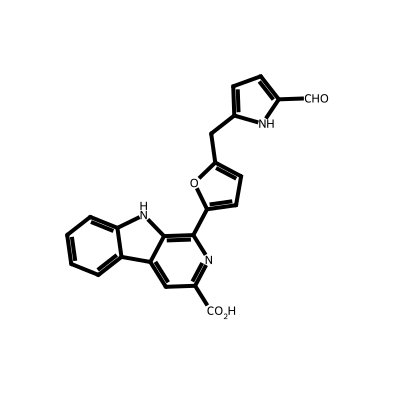 O=Cc1ccc(Cc2ccc(-c3nc(C(=O)O)cc4c3[nH]c3ccccc34)o2)[nH]1